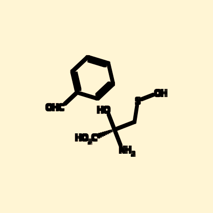 N[C@@](O)(CSO)C(=O)O.O=Cc1ccccc1